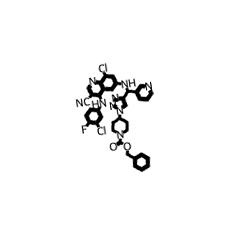 N#Cc1cnc2c(Cl)cc(NC(c3cccnc3)c3cn(C4CCN(C(=O)OCc5ccccc5)CC4)nn3)cc2c1Nc1ccc(F)c(Cl)c1